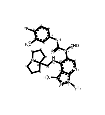 Cc1nn(C)c2ncc(N(C=O)C(=O)Nc3ccc(F)c(C(F)(F)F)c3)c(NCC34CCCN3CCC4)c12